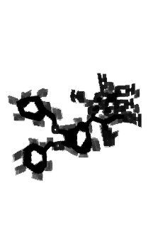 CC(C)(C)[Si](C)(C)O[C@H](c1ccc(OCc2ccccc2)c(OCc2ccccc2)c1)[C@H](Br)CO